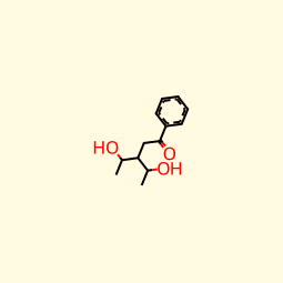 CC(O)C(CC(=O)c1ccccc1)C(C)O